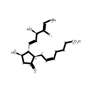 CCCC/C=C(\F)[C@H](O)/C=C/[C@H]1[C@H](O)CC(=O)[C@@H]1C/C=C\CCCC(=O)O